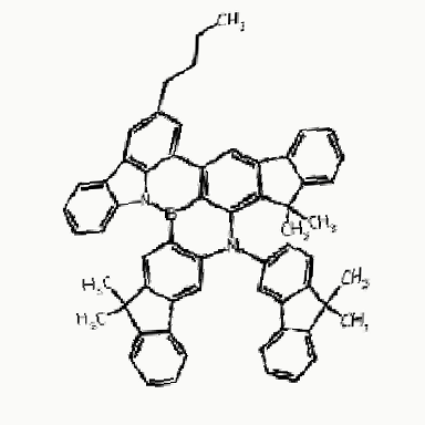 CCCCc1cc2c3c(c1)c1ccccc1n3B1c3cc4c(cc3N(c3ccc5c(c3)-c3ccccc3C5(C)C)c3c1c-2cc1c3C(C)(C)c2ccccc2-1)-c1ccccc1C4(C)C